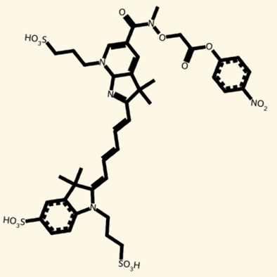 CN(OCC(=O)Oc1ccc([N+](=O)[O-])cc1)C(=O)C1=CN(CCCS(=O)(=O)O)C2N=C(/C=C/C=C/C=C3/N(CCCS(=O)(=O)O)c4ccc(S(=O)(=O)O)cc4C3(C)C)C(C)(C)C2=C1